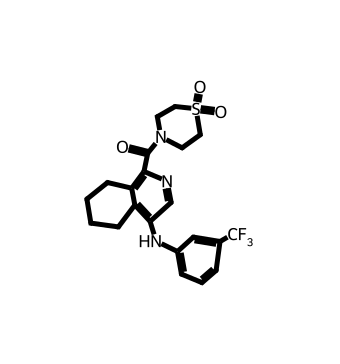 O=C(c1ncc(Nc2cccc(C(F)(F)F)c2)c2c1CCCC2)N1CCS(=O)(=O)CC1